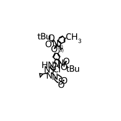 Cc1ccc2c(c1)[C@]1(C[C@H]1c1ccc3c(Nc4nc(C5CC5)nc(N5CCS(=O)(=O)CC5)c4Cl)nn(C(=O)OC(C)(C)C)c3c1)C(=O)N2C(=O)OC(C)(C)C